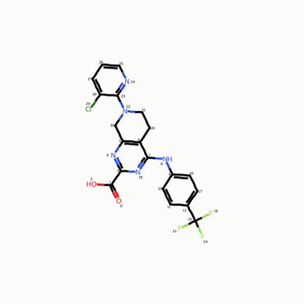 O=C(O)c1nc2c(c(Nc3ccc(C(F)(F)F)cc3)n1)CCN(c1ncccc1Cl)C2